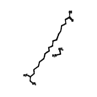 CCC(C)CCCCCCCCCCCCCCCCC(=O)O.CCN